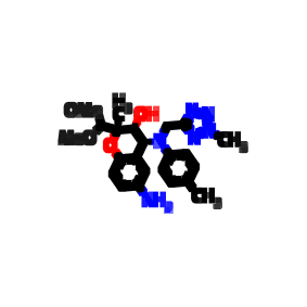 COC(OC)[C@@]1(C)Oc2ccc(N)cc2[C@@H](N(Cc2nnn(C)n2)c2ccc(C)cc2)[C@@H]1O